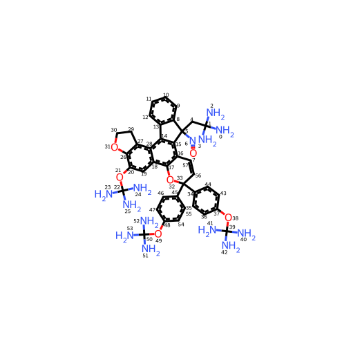 NC(N)(N)CC1(N=O)c2ccccc2-c2c1c1c(c3cc(OC(N)(N)N)c4c(c23)CCO4)OC(c2ccc(OC(N)(N)N)cc2)(c2ccc(OC(N)(N)N)cc2)C=C1